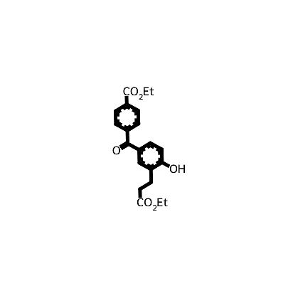 CCOC(=O)CCc1cc(C(=O)c2ccc(C(=O)OCC)cc2)ccc1O